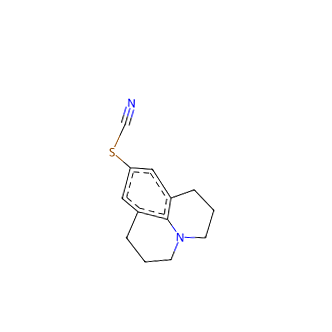 N#CSc1cc2c3c(c1)CCCN3CCC2